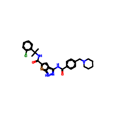 CC(C)(NC(=O)c1cc2c(NC(=O)c3ccc(CN4CCCCC4)cc3)n[nH]c2s1)c1ccccc1Cl